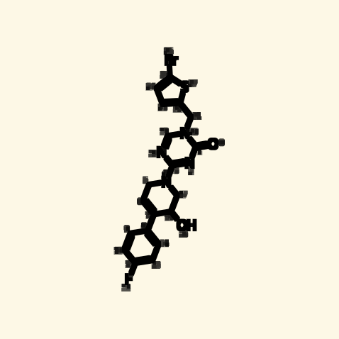 O=c1nc(N2CC=C(c3ccc(F)cc3)C(O)C2)ncn1Cc1ccc(Br)s1